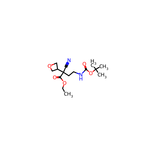 CCOC(=O)C(C#N)(CCNC(=O)OC(C)(C)C)C1COC1